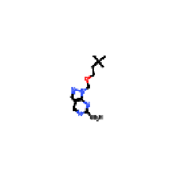 C[Si](C)(C)CCOCn1ncc2cnc(C(=O)O)nc21